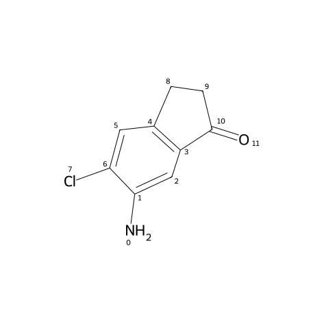 Nc1cc2c(cc1Cl)CCC2=O